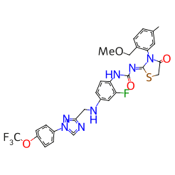 COCc1ccc(C)cc1N1C(=O)CSC1=NC(=O)Nc1ccc(NCc2ncn(-c3ccc(OC(F)(F)F)cc3)n2)cc1F